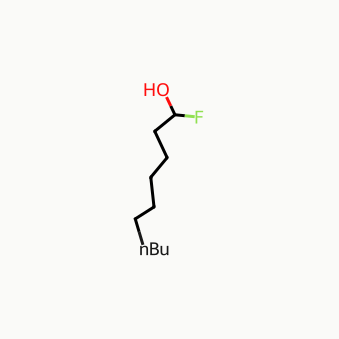 CCCCCCCCCC(O)F